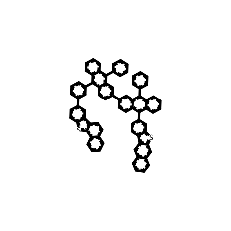 c1ccc(-c2c3ccccc3c(-c3cccc(-c4ccc5sc6c7ccccc7ccc6c5c4)c3)c3ccc(-c4ccc5c(-c6ccc7c(c6)sc6cc8ccccc8cc67)c6ccccc6c(-c6ccccc6)c5c4)cc23)cc1